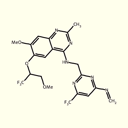 C=Nc1cc(C(F)(F)F)nc(CNc2nc(C)nc3cc(OC)c(OC(COC)C(F)(F)F)cc23)n1